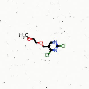 COCCOCc1cnc(Cl)nc1Cl